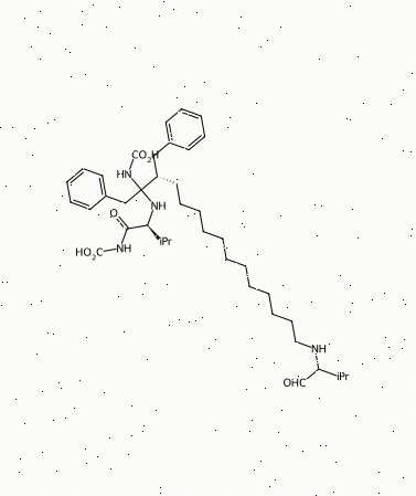 CC(C)C(C=O)NCCCCCCCCCCCC[C@@H](Cc1ccccc1)C(Cc1ccccc1)(NC(=O)O)N[C@H](C(=O)NC(=O)O)C(C)C